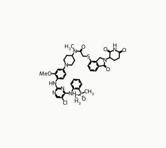 COc1cc(N2CCC(N(C)C(=O)CSc3cccc4c3CN(C3CCC(=O)NC3=O)C4=O)CC2)ccc1Nc1ncc(Cl)c(Nc2ccccc2P(C)(C)=O)n1